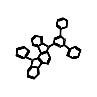 C1=CCCC(c2cc(-n3c4ccccc4c4c3ccc3c5ccccc5n(-c5ccccc5)c34)nc(-c3ccccc3)n2)=C1